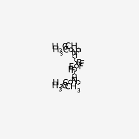 CC(C)(C)c1ccc(N(c2ccccc2)c2ccc(C=Cc3cc(C(F)(F)F)c(C=Cc4ccc(N(c5ccccc5)c5ccc(C(C)(C)C)cc5)cc4)cc3C(F)(F)F)cc2)cc1